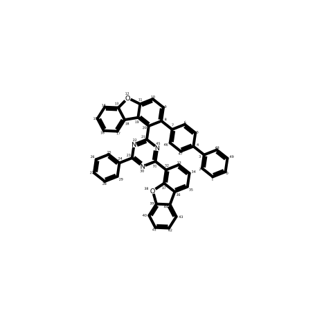 c1ccc(-c2ccc(-c3ccc4oc5ccccc5c4c3-c3nc(-c4ccccc4)nc(-c4cccc5c4oc4ccccc45)n3)cc2)cc1